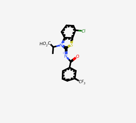 CC(C(=O)O)n1/c(=N/C(=O)c2cccc(C(F)(F)F)c2)sc2c(Cl)cccc21